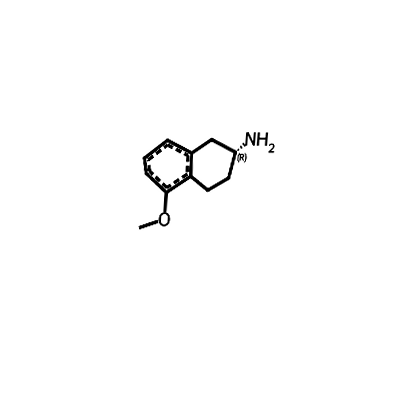 COc1cccc2c1CC[C@@H](N)C2